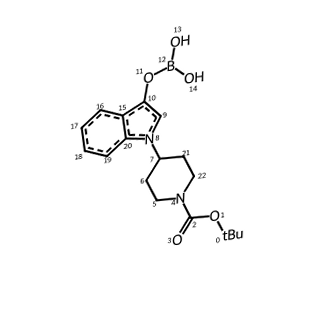 CC(C)(C)OC(=O)N1CCC(n2cc(OB(O)O)c3ccccc32)CC1